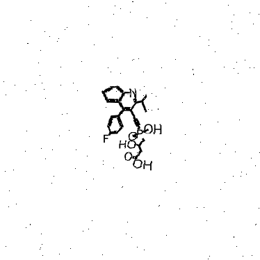 CC(C)c1nc2ccccc2c(-c2ccc(F)cc2)c1C#CP(=O)(O)CC(O)CC(=O)O